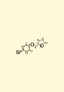 Brc1ccc(OCC2CCCO2)cc1